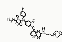 NC(=O)C1(C(=O)N(c2ccc(F)cc2)c2ccc(Oc3ccnc4ncc(NCCCN5CCOCC5)nc34)c(F)c2)CC1